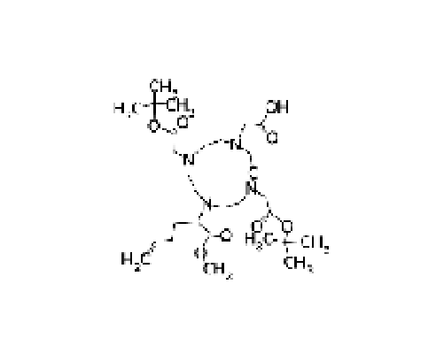 C=CCCC(C(=O)OC)N1CCN(CC(=O)OC(C)(C)C)CCN(CC(=O)O)CCN(CC(=O)OC(C)(C)C)CC1